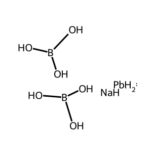 OB(O)O.OB(O)O.[NaH].[PbH2]